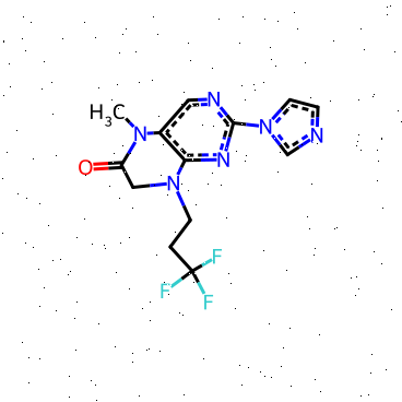 CN1C(=O)CN(CCC(F)(F)F)c2nc(-n3ccnc3)ncc21